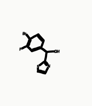 OC(c1ccc(Br)c(F)c1)c1nccs1